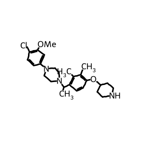 COc1cc(N2CCN(C(C)c3ccc(OC4CCNCC4)c(C)c3C)CC2)ccc1Cl